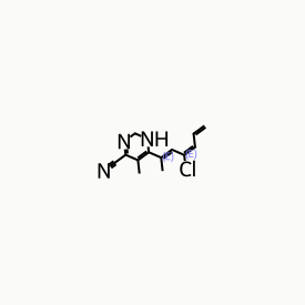 C=C/C=C(Cl)\C=C(/C)C1=C(C)C(C#N)=NCN1